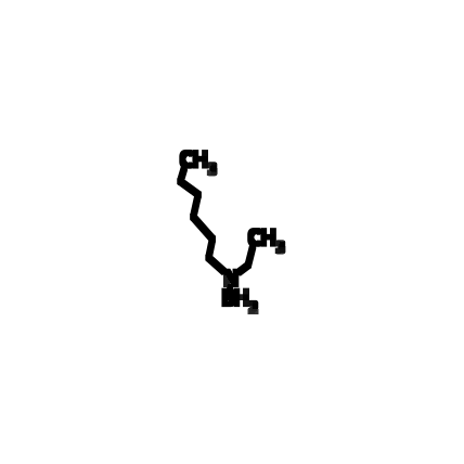 BN(CC)CCCCCC